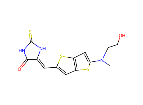 CN(CCO)c1cc2sc(/C=C3\NC(=S)NC3=O)cc2s1